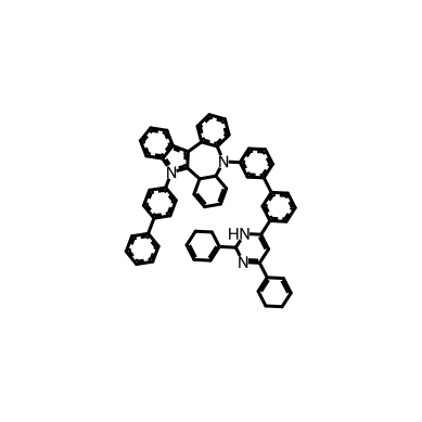 C1=CCCC(C2N=C(C3=CCCC=C3)C=C(c3cccc(-c4cccc(N5c6ccccc6-c6c(n(-c7ccc(-c8ccccc8)cc7)c7ccccc67)C6C=CC=CC65)c4)c3)N2)=C1